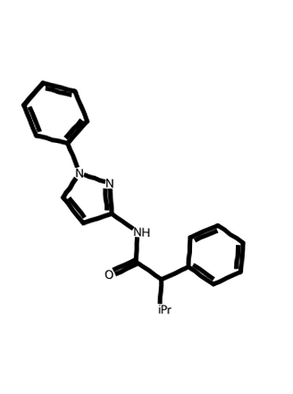 CC(C)C(C(=O)Nc1ccn(-c2ccccc2)n1)c1ccccc1